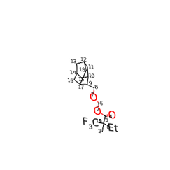 CCC(C)(C(=O)OCOCC1C2CC3CC(C2)CC1C3)C(F)(F)F